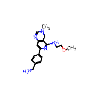 COCCNc1nc(-c2ccc(CN)cc2)cc2c1CN(C)C=N2